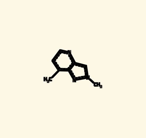 Cc1ccnc2cn(C)nc12